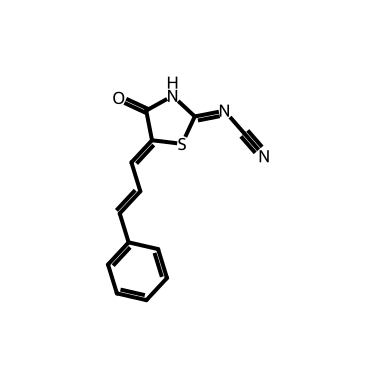 N#CN=C1NC(=O)C(=CC=Cc2ccccc2)S1